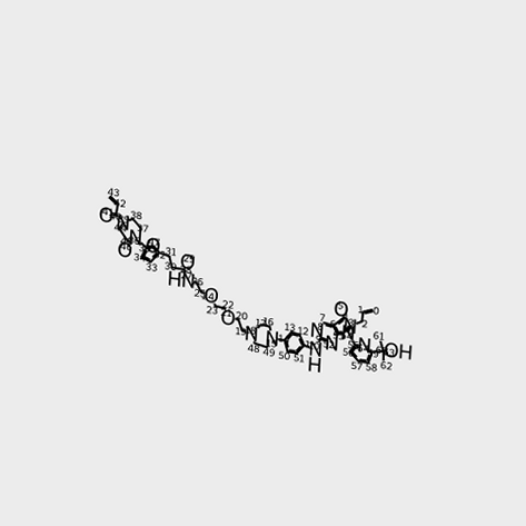 C=CCn1c(=O)c2cnc(Nc3ccc(N4CCN(CCOCCOCCNC(=O)CCc5ccc(N6CCN(C(=O)C=C)CC6=O)o5)CC4)cc3)nc2n1-c1cccc(C(C)(C)O)n1